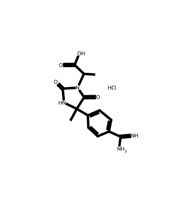 CC(C(=O)O)N1C(=O)NC(C)(c2ccc(C(=N)N)cc2)C1=O.Cl